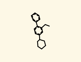 CCc1cc(C2CCCCC2)ccc1-c1ccccc1